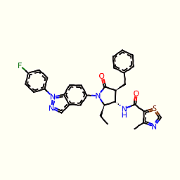 CC[C@@H]1[C@@H](NC(=O)c2scnc2C)[C@H](Cc2ccccc2)C(=O)N1c1ccc2c(cnn2-c2ccc(F)cc2)c1